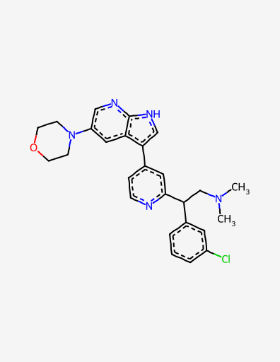 CN(C)CC(c1cccc(Cl)c1)c1cc(-c2c[nH]c3ncc(N4CCOCC4)cc23)ccn1